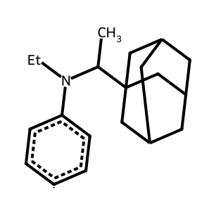 CCN(c1cc[c]cc1)C(C)C12CC3CC(CC(C3)C1)C2